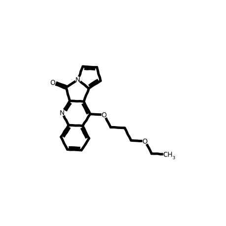 CCOCCCOc1c2c(nc3ccccc13)C(=O)n1cccc1-2